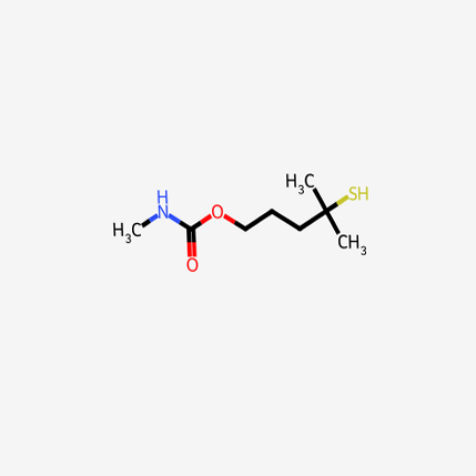 CNC(=O)OCCCC(C)(C)S